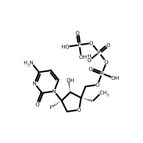 CC[C@]1(COP(=O)(O)OP(=O)(O)OP(=O)(O)O)OC[C@@](F)(n2ccc(N)nc2=O)[C@@H]1O